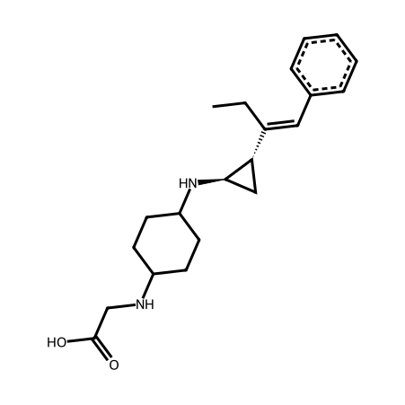 CC/C(=C\c1ccccc1)[C@@H]1C[C@H]1NC1CCC(NCC(=O)O)CC1